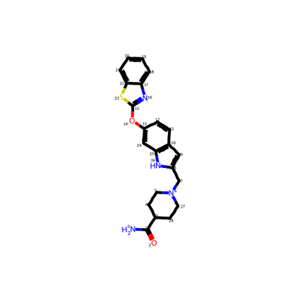 NC(=O)C1CCN(Cc2cc3ccc(Oc4nc5ccccc5s4)cc3[nH]2)CC1